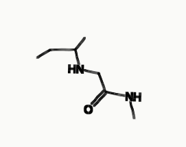 CCC(C)NCC(=O)NC